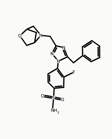 NS(=O)(=O)c1ccc(-n2nc(CN3CC4CC3CO4)nc2Cc2ccccc2)c(F)c1